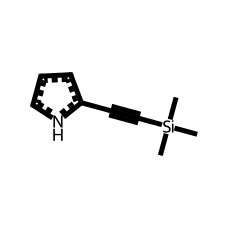 C[Si](C)(C)C#Cc1ccc[nH]1